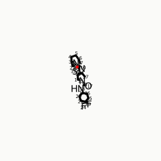 CN1CC2CCC(C1)N2c1nc2c(s1)CN(C(=O)NC1CCC(F)(F)CC1)C2